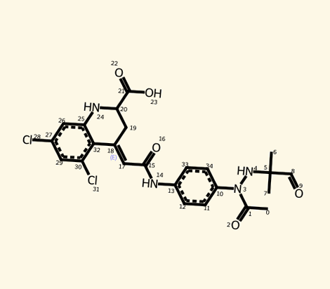 CC(=O)N(NC(C)(C)C=O)c1ccc(NC(=O)/C=C2\CC(C(=O)O)Nc3cc(Cl)cc(Cl)c32)cc1